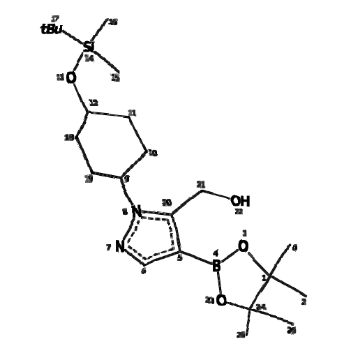 CC1(C)OB(c2cnn(C3CCC(O[Si](C)(C)C(C)(C)C)CC3)c2CO)OC1(C)C